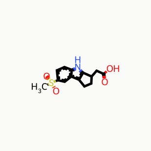 CS(=O)(=O)c1ccc2[nH]c3c(c2c1)CCC3CC(=O)O